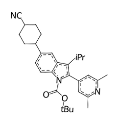 Cc1cc(-c2c(C(C)C)c3cc(C4CCC(C#N)CC4)ccc3n2C(=O)OC(C)(C)C)cc(C)n1